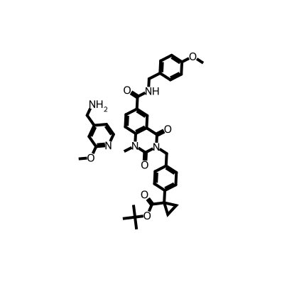 COc1cc(CN)ccn1.COc1ccc(CNC(=O)c2ccc3c(c2)c(=O)n(Cc2ccc(C4(C(=O)OC(C)(C)C)CC4)cc2)c(=O)n3C)cc1